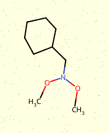 CON(CC1CCCCC1)OC